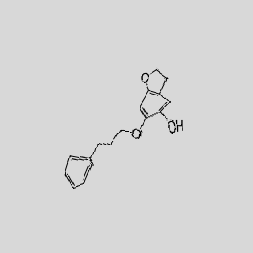 Oc1cc2c(cc1OCCCc1ccccc1)OCC2